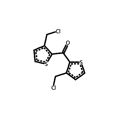 O=C(c1sccc1CCl)c1sccc1CCl